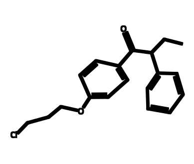 CCC(C(=O)c1ccc(OCCCCl)cc1)c1ccccc1